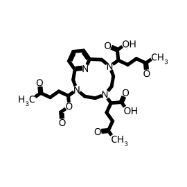 CC(=O)CCC(OC=O)N1CCN(C(CCC(C)=O)C(=O)O)CCN(C(CCC(C)=O)C(=O)O)Cc2cccc(n2)C1